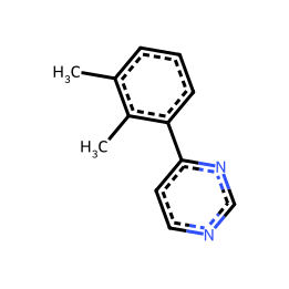 Cc1cccc(-c2ccncn2)c1C